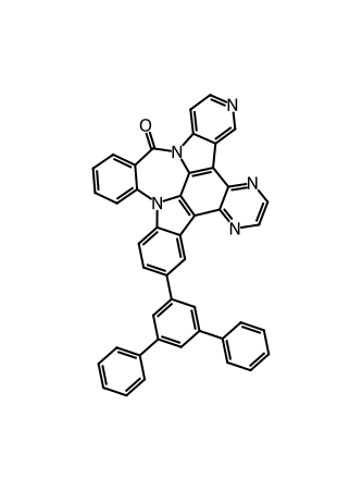 O=c1c2ccccc2n2c3ccc(-c4cc(-c5ccccc5)cc(-c5ccccc5)c4)cc3c3c4nccnc4c4c5cnccc5n1c4c32